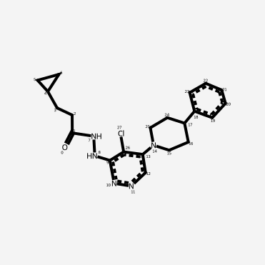 O=C(CCC1CC1)NNc1nncc(N2CCC(c3ccccc3)CC2)c1Cl